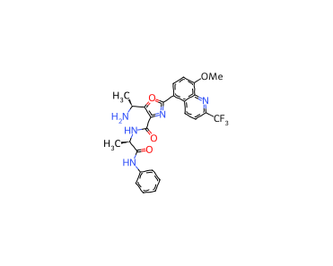 COc1ccc(-c2nc(C(=O)N[C@H](C)C(=O)Nc3ccccc3)c([C@H](C)N)o2)c2ccc(C(F)(F)F)nc12